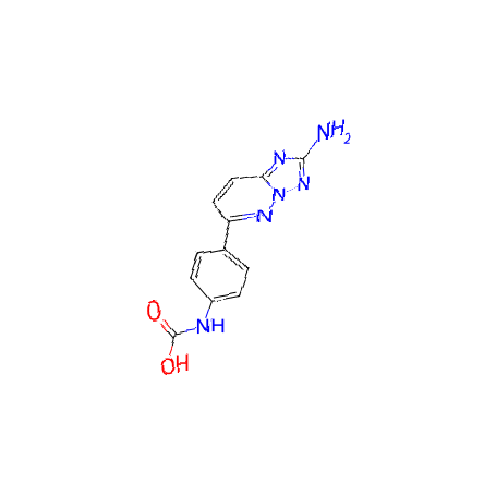 Nc1nc2ccc(-c3ccc(NC(=O)O)cc3)nn2n1